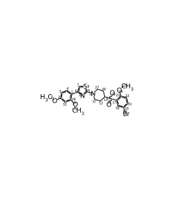 COc1ccc(-c2csc(N3CCC(S(=O)(=O)c4cc(Br)ccc4OC)CC3)n2)c(OC)c1